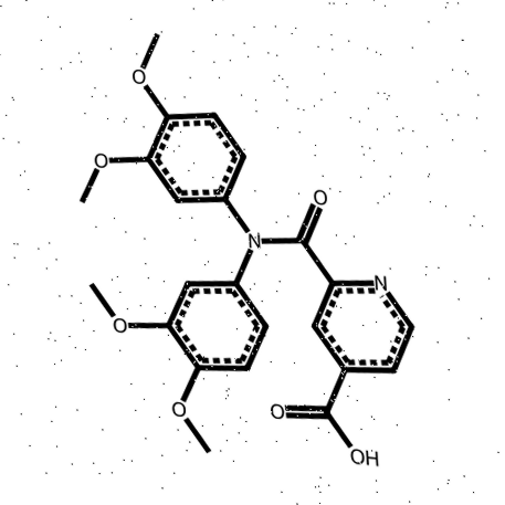 COc1ccc(N(C(=O)c2cc(C(=O)O)ccn2)c2ccc(OC)c(OC)c2)cc1OC